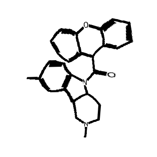 Cc1ccc2c(c1)C1CN(C)CCC1N2C(=O)C1c2ccccc2Oc2ccccc21